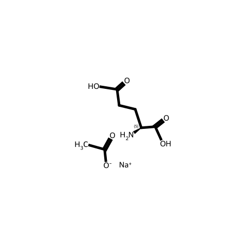 CC(=O)[O-].N[C@@H](CCC(=O)O)C(=O)O.[Na+]